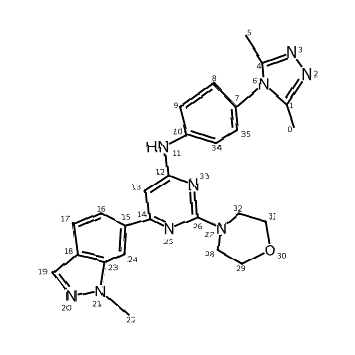 Cc1nnc(C)n1-c1ccc(Nc2cc(-c3ccc4cnn(C)c4c3)nc(N3CCOCC3)n2)cc1